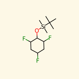 CC(C)(C)[Si](C)(C)OC1C(F)CC(F)CC1F